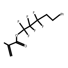 C=C(C)C(=O)OC(F)(F)C(F)(F)C(F)(F)CCC(C)C